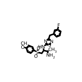 COc1ccc(S(=O)(=O)CC(Nc2nc(Cc3cccc(F)c3)ns2)C(C)N)cc1